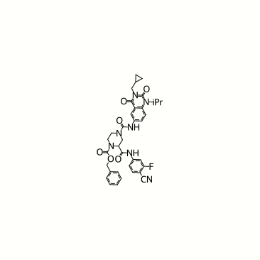 CC(C)n1c(=O)n(CC2CC2)c(=O)c2cc(NC(=O)N3CCN(C(=O)OCc4ccccc4)C(C(=O)Nc4ccc(C#N)c(F)c4)C3)ccc21